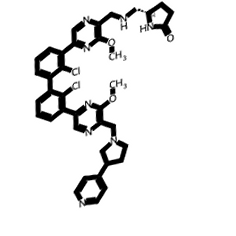 COc1nc(-c2cccc(-c3cccc(-c4cnc(CN5CCC(c6ccncc6)C5)c(OC)n4)c3Cl)c2Cl)cnc1CNC[C@@H]1CCC(=O)N1